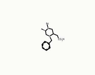 CC(=O)N1CC(CC(=O)O)N(Cc2ccccc2)C[C@H]1C